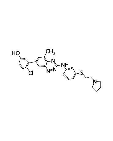 Cc1cc(-c2cc(O)ccc2Cl)cc2nnc(Nc3cccc(SCCN4CCCC4)c3)nc12